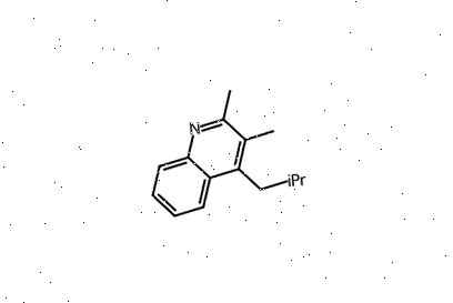 Cc1nc2ccccc2c(CC(C)C)c1C